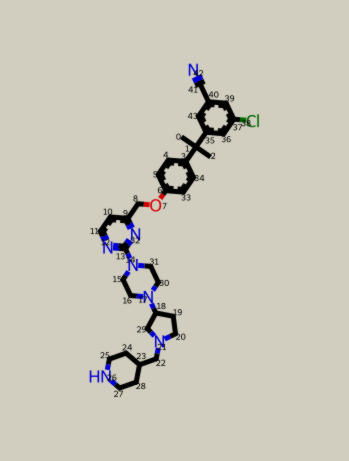 CC(C)(c1ccc(OCc2ccnc(N3CCN(C4CCN(CC5CCNCC5)C4)CC3)n2)cc1)c1cc(Cl)cc(C#N)c1